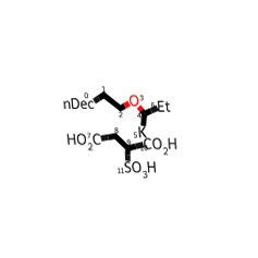 CCCCCCCCCCCCO[CH]([K])CC.O=C(O)CC(C(=O)O)S(=O)(=O)O